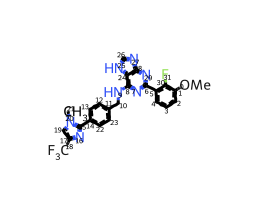 COc1cccc(-c2nc(NCc3ccc(-c4nc(C(F)(F)F)cn4C)cc3)c3[nH]cnc3n2)c1F